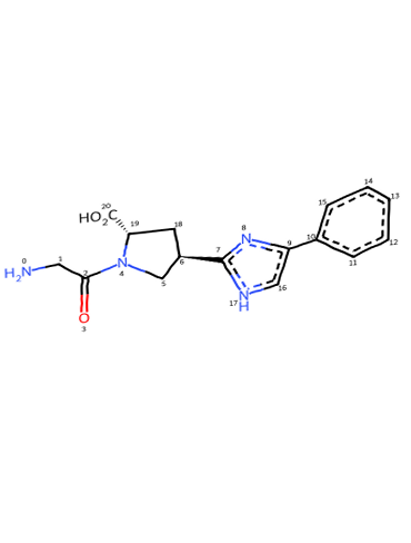 NCC(=O)N1C[C@H](c2nc(-c3ccccc3)c[nH]2)C[C@H]1C(=O)O